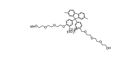 CCOC(=O)c1cc(C2(c3ccc(OCCOCCOCCOC)c(C(=O)OCC)c3)c3cc(C)ccc3-c3ccc(C)cc32)ccc1COCCOCCOCCO